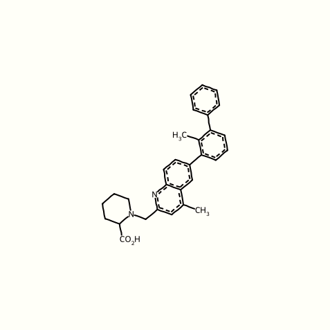 Cc1c(-c2ccccc2)cccc1-c1ccc2nc(CN3CCCCC3C(=O)O)cc(C)c2c1